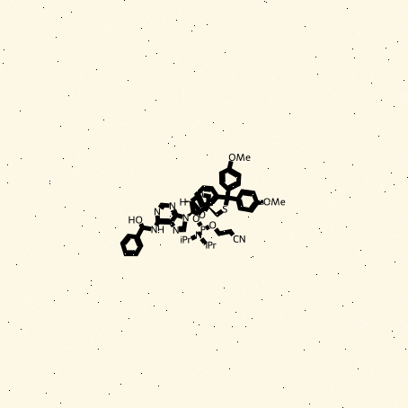 COc1ccc(C(SC[C@]23CO[C@@H](C2OP(OCCC#N)N(C(C)C)C(C)C)[C@H](n2cnc4c(NC(O)c5ccccc5)ncnc42)O3)(c2ccccc2)c2ccc(OC)cc2)cc1